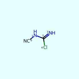 N#CNC(=N)Cl